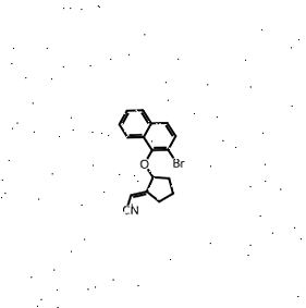 N#C/C=C1\CCCC1Oc1c(Br)ccc2ccccc12